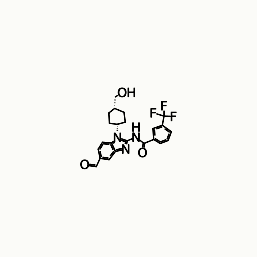 O=Cc1ccc2c(c1)nc(NC(=O)c1cccc(C(F)(F)F)c1)n2[C@H]1CC[C@@H](CO)CC1